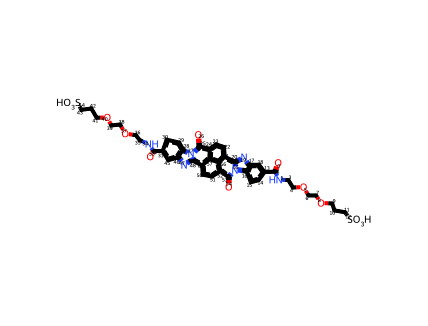 O=C(NCCOCCOCCCS(=O)(=O)O)c1ccc2c(c1)nc1c3ccc4c(=O)n5c6ccc(C(=O)NCCOCCOCCCS(=O)(=O)O)cc6nc5c5ccc(c(=O)n21)c3c45